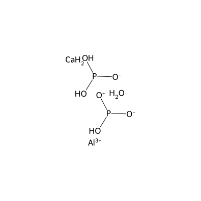 O.[Al+3].[CaH2].[O-]P(O)O.[O-]P([O-])O